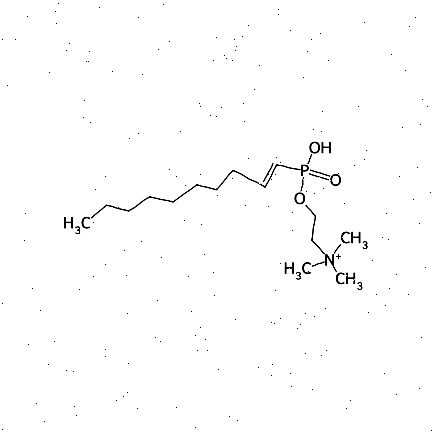 CCCCCCCCC=CP(=O)(O)OCC[N+](C)(C)C